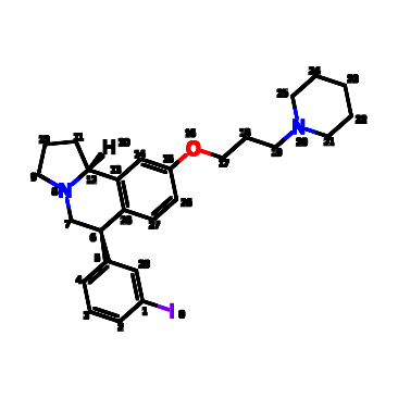 Ic1cccc([C@H]2CN3CCC[C@@H]3c3cc(OCCCN4CCCCC4)ccc32)c1